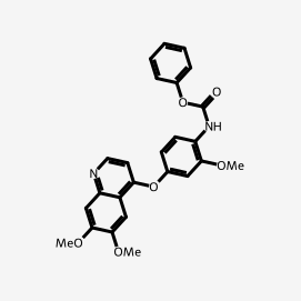 COc1cc(Oc2ccnc3cc(OC)c(OC)cc23)ccc1NC(=O)Oc1ccccc1